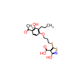 CCCc1c(OCCCSc2snc(O)c2C(=O)O)ccc(C(C)=O)c1O